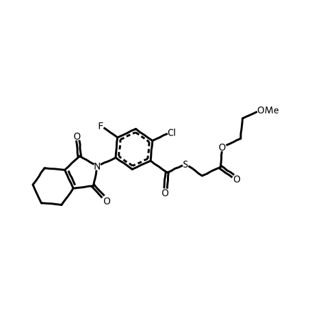 COCCOC(=O)CSC(=O)c1cc(N2C(=O)C3=C(CCCC3)C2=O)c(F)cc1Cl